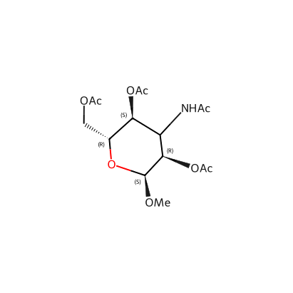 CO[C@H]1O[C@H](COC(C)=O)[C@@H](OC(C)=O)C(NC(C)=O)[C@H]1OC(C)=O